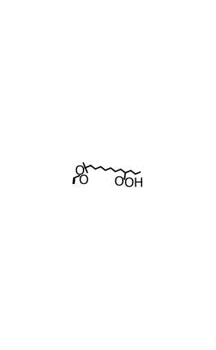 C=CC(=O)OC(C)(C)CCCCCCCC(CCC)C(=O)O